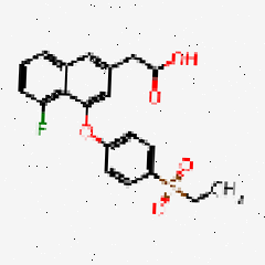 CCS(=O)(=O)c1ccc(Oc2cc(CC(=O)O)cc3cccc(F)c23)cc1